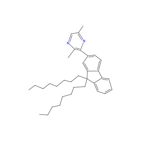 CCCCCCCCC1(CCCCCCCC)c2ccccc2-c2ccc(-c3nc(C)cnc3C)cc21